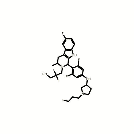 CC1Cc2c([nH]c3ccc(F)cc23)C(c2c(F)cc(NC3CCN(CCCF)C3)cc2F)N1CC(F)(F)CO